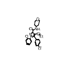 CCOc1c(C(=O)NC2CCOCC2)nn(-c2ccccc2Cl)c1-c1ccc(Cl)cc1